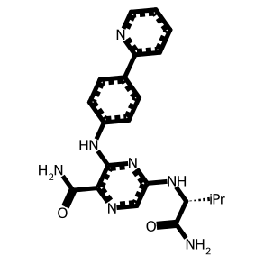 CC(C)[C@@H](Nc1cnc(C(N)=O)c(Nc2ccc(-c3ccccn3)cc2)n1)C(N)=O